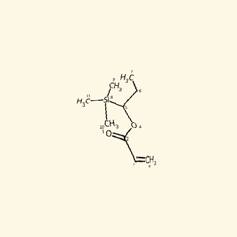 C=CC(=O)OC(CC)[Si](C)(C)C